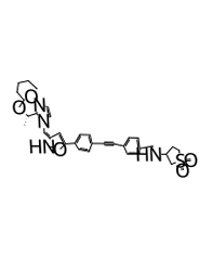 C[C@H](OC1CCCCO1)c1nccn1C=C1C=C(c2ccc(C#Cc3ccc(CNC4CCS(=O)(=O)C4)cc3)cc2)ON1